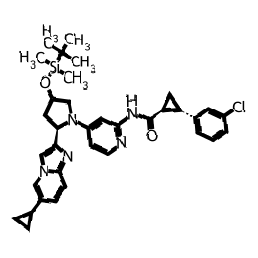 CC(C)(C)[Si](C)(C)OC1C[C@H](c2cn3cc(C4CC4)ccc3n2)N(c2ccnc(NC(=O)[C@H]3C[C@@H]3c3cccc(Cl)c3)c2)C1